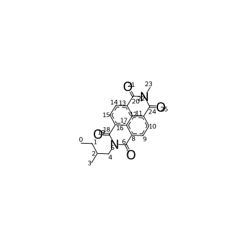 CCC(C)CN1C(=O)c2ccc3c4c(ccc(c24)C1=O)C(=O)N(C)C3=O